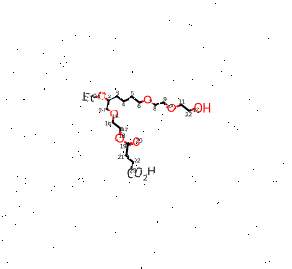 CCOC(CCCCOCCOCCO)COCCOC(=O)CCC(=O)O